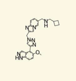 COc1ccc2[nH]ncc2c1-c1cn(Cc2cn3cc(CNCC4CCC4)ccc3n2)nn1